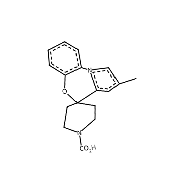 Cc1cc2n(c1)-c1ccccc1OC21CCN(C(=O)O)CC1